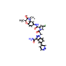 CC1Oc2ccc(NC(=O)C3CC(F)CN3C(=O)Cn3nc(C(N)=O)c4cc(-c5ccnnc5)ccc43)cc2N(C)C1=O